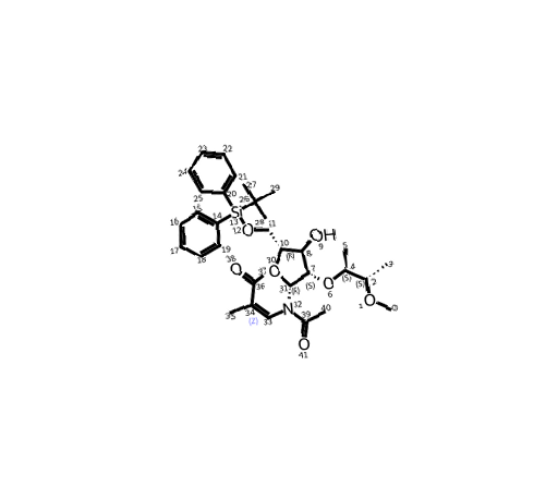 CO[C@@H](C)[C@H](C)O[C@H]1C(O)[C@@H](CO[Si](c2ccccc2)(c2ccccc2)C(C)(C)C)O[C@H]1N(/C=C(/C)C(C)=O)C(C)=O